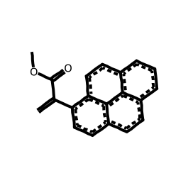 C=C(C(=O)OC)c1ccc2ccc3cccc4ccc1c2c34